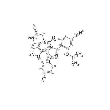 CC(C)Oc1cc(C#N)ccc1C1=N[C@@H](c2ccc(Cl)cc2)[C@@H](c2ccno2)N1C(=O)N1CCNC(=O)C1